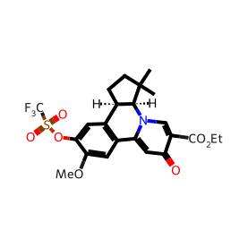 CCOC(=O)c1cn2c(cc1=O)-c1cc(OC)c(OS(=O)(=O)C(F)(F)F)cc1[C@H]1CCC(C)(C)[C@H]12